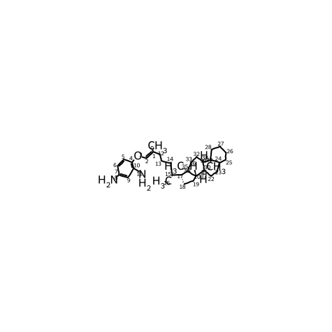 CC(=COc1ccc(N)cc1N)CCC[C@@H](C)[C@H]1CC[C@H]2[C@@H]3CCC4CCCC[C@]4(C)[C@H]3CC[C@]12C